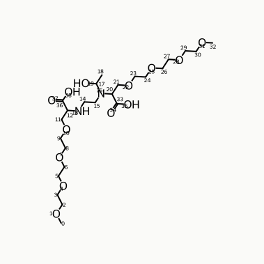 COCCOCCOCCOCC(NCCN(C(C)O)C(COCCOCCOCCOC)C(=O)O)C(=O)O